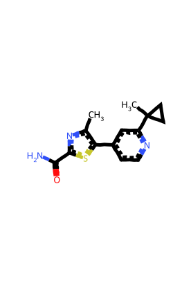 Cc1nc(C(N)=O)sc1-c1ccnc(C2(C)CC2)c1